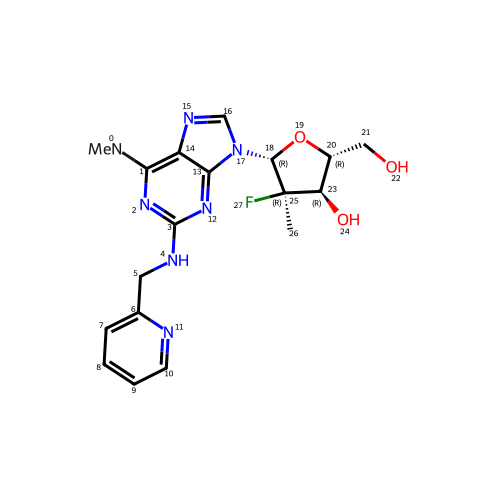 CNc1nc(NCc2ccccn2)nc2c1ncn2[C@@H]1O[C@H](CO)[C@@H](O)[C@@]1(C)F